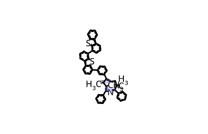 C/C1=C(c2ccccc2)\N=C(\c2ccccc2)[C@H](C)C/C=C(\c2cccc(-c3cccc4c3sc3c(-c5cccc6c5sc5ccccc56)cccc34)c2)[C@@H]1C